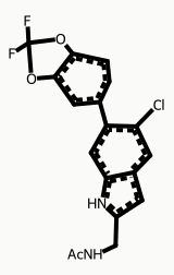 CC(=O)NCc1cc2cc(Cl)c(-c3ccc4c(c3)OC(F)(F)O4)cc2[nH]1